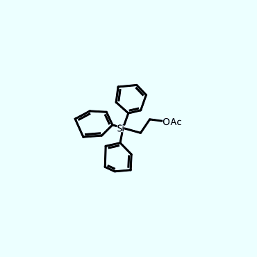 CC(=O)OCC[Si](c1ccccc1)(c1ccccc1)c1ccccc1